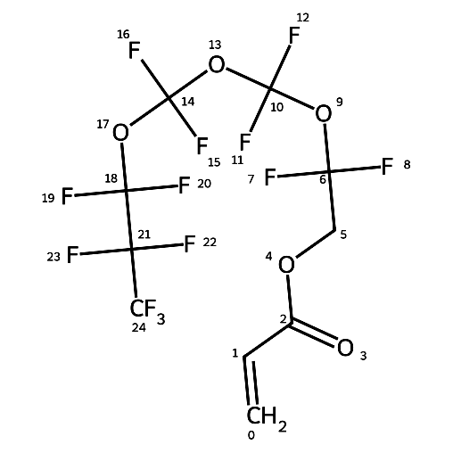 C=CC(=O)OCC(F)(F)OC(F)(F)OC(F)(F)OC(F)(F)C(F)(F)C(F)(F)F